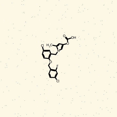 Cc1cc(OC(=O)O)cn1Cc1cc(Cl)ccc1OCc1ccc(Cl)cc1F